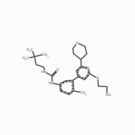 Cc1ccc(NC(=O)NCCC(C)(C)C)cc1-c1cc(OCCO)nc(C2CCOCC2)c1